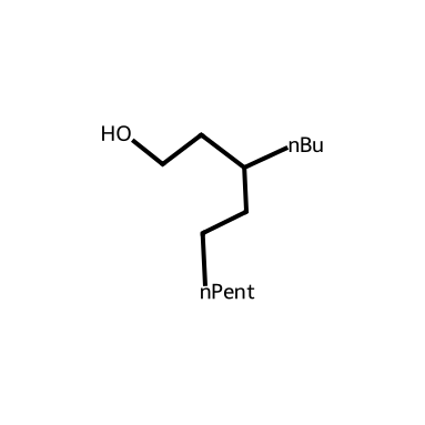 [CH2]CCCC(CCO)CCCCCCC